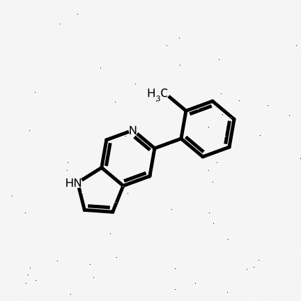 Cc1ccccc1-c1cc2cc[nH]c2cn1